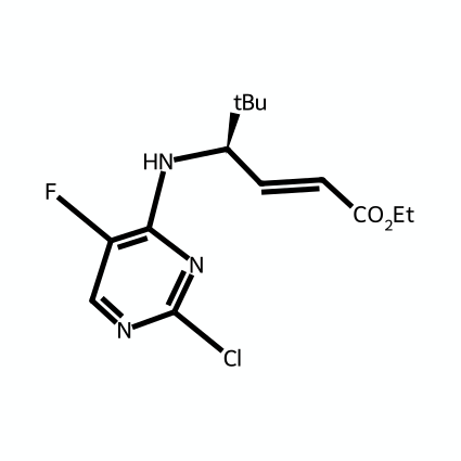 CCOC(=O)/C=C/[C@@H](Nc1nc(Cl)ncc1F)C(C)(C)C